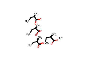 C=C(CC)C(=O)[O-].C=C(CC)C(=O)[O-].C=C(CC)C(=O)[O-].C=C(CC)C(=O)[O-].[Ti+4]